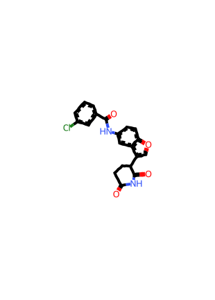 O=C1CCC(c2coc3ccc(NC(=O)c4cccc(Cl)c4)cc23)C(=O)N1